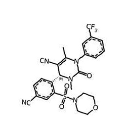 [C-]#[N+]C1=C(C)N(c2cccc(C(F)(F)F)c2)C(=O)N(C)[C@@H]1c1ccc(C#N)cc1S(=O)(=O)N1CCOCC1